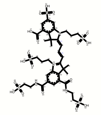 CC1(C)C(/C=C/C=C2/N(CCCS(=O)(=O)O)c3cc(S(=O)(=O)O)cc(C(=O)O)c3C2(C)C)=[N+](CCCS(=O)(=O)O)c2cc(C(=O)NCCS(=O)(=O)O)cc(C(=O)NCCS(=O)(=O)O)c21